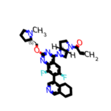 C=CC(=O)N1CC[C@@H]2[C@H]1CN2c1nc(OC[C@@H]2CCCN2C)nc2c(F)c(-c3cncc4c3CCCC4)c(F)cc12